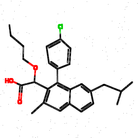 CCCCOC(C(=O)O)c1c(C)cc2ccc(CC(C)C)cc2c1-c1ccc(Cl)cc1